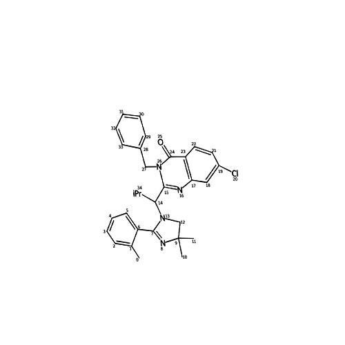 Cc1ccccc1C1=NC(C)(C)CN1C(c1nc2cc(Cl)ccc2c(=O)n1Cc1ccccc1)C(C)C